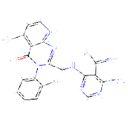 Cc1ccccc1-n1c(CNc2ncnc(N)c2C(=N)C(C)C)nc2nccc(C)c2c1=O